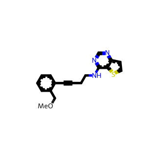 COCc1ccccc1C#CCCNc1ncnc2ccsc12